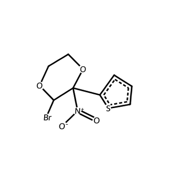 O=[N+]([O-])C1(c2cccs2)OCCOC1Br